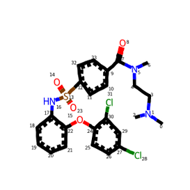 CN(C)CCN(C)C(=O)c1ccc(S(=O)(=O)Nc2ccccc2Oc2ccc(Cl)cc2Cl)cc1